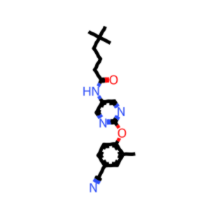 Cc1cc(C#N)ccc1Oc1ncc(NC(=O)CCCC(C)(C)C)cn1